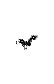 Cc1ccc(S(=O)(=O)Nc2cccc(COCc3ccc(F)cc3)n2)cc1Cl